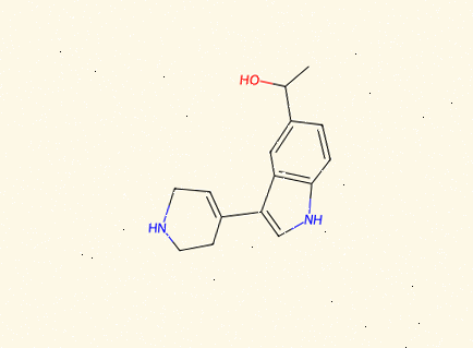 CC(O)c1ccc2[nH]cc(C3=CCNCC3)c2c1